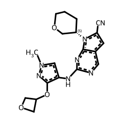 Cn1cc(Nc2ncc3cc(C#N)n([C@H]4CCCOC4)c3n2)c(OC2COC2)n1